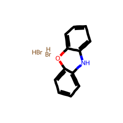 Br.Br.c1ccc2c(c1)Nc1ccccc1O2